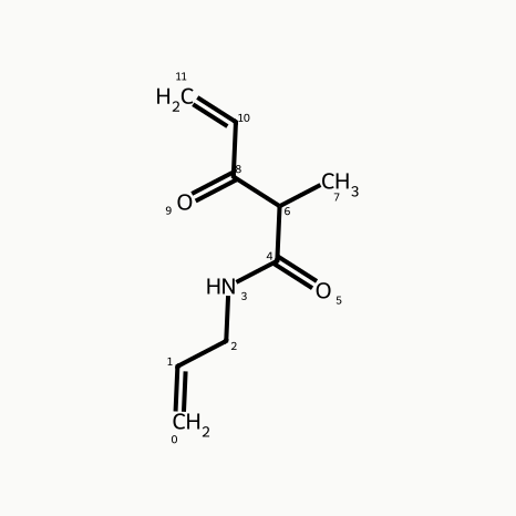 C=CCNC(=O)C(C)C(=O)C=C